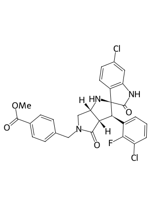 COC(=O)c1ccc(CN2C[C@@H]3N[C@@]4(C(=O)Nc5cc(Cl)ccc54)[C@@H](c4cccc(Cl)c4F)[C@@H]3C2=O)cc1